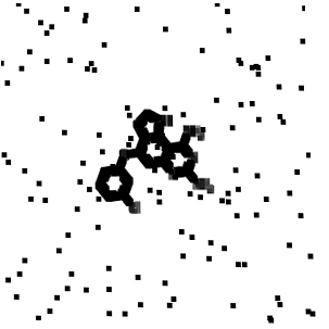 Nc1nc(N)c2c(cc(Oc3cccc(Cl)c3)c3cc[nH]c32)n1